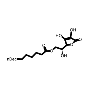 CCCCCCCCCCCCCCCC(=O)OC[C@H](O)C1OC(=O)C(O)=C1O